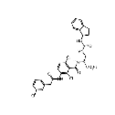 CCOC(=O)C(CNC(=O)NC1CCc2ccccc21)NC(=O)c1c(Cl)ccc(NC(=O)Cc2cccc(Cl)c2)c1Cl